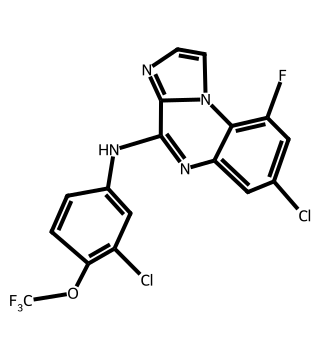 Fc1cc(Cl)cc2nc(Nc3ccc(OC(F)(F)F)c(Cl)c3)c3nccn3c12